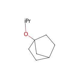 CC(C)OC12CCC(CC1)C2